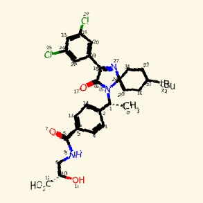 C[C@H](c1ccc(C(=O)NC[C@H](O)C(=O)O)cc1)N1C(=O)C(c2cc(Cl)cc(Cl)c2)=NC12CCC(C(C)(C)C)CC2